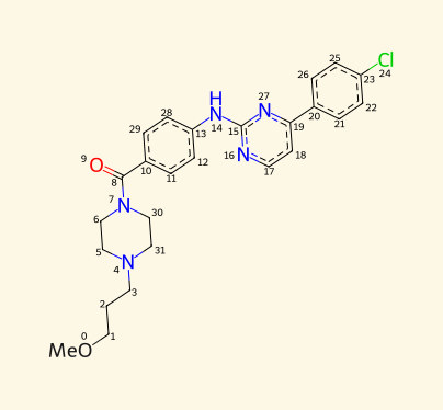 COCCCN1CCN(C(=O)c2ccc(Nc3nccc(-c4ccc(Cl)cc4)n3)cc2)CC1